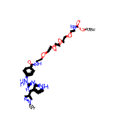 CCCn1cc(-c2nc(Nc3ccc(C(=O)NCCOCCOCCOCCOCCNC(=O)OC(C)(C)C)cc3)nc3[nH]ccc23)cn1